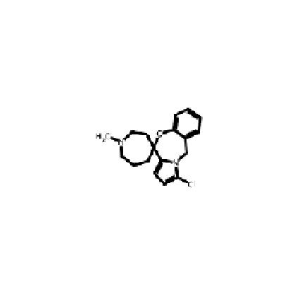 CN1CCCC2(CC1)Oc1ccccc1Cn1c(Cl)ccc12